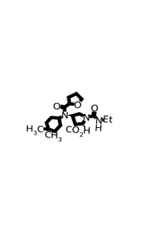 CCNC(=O)N1C[C@@H](N(C(=O)C2CCCO2)C2CCC(C)(C)CC2)C[C@H]1C(=O)O